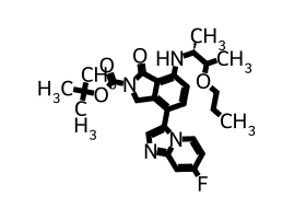 CCCOC(C)[C@@H](C)Nc1ccc(-c2cnc3cc(F)ccn23)c2c1C(=O)N(C(=O)OC(C)(C)C)C2